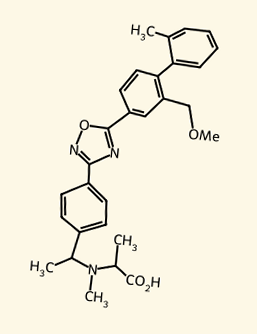 COCc1cc(-c2nc(-c3ccc(C(C)N(C)C(C)C(=O)O)cc3)no2)ccc1-c1ccccc1C